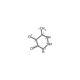 CN1BNBN(Cl)B1Cl